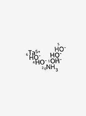 N.[OH-].[OH-].[OH-].[OH-].[OH-].[Ta+5]